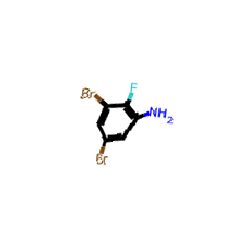 Nc1cc(Br)cc(Br)c1F